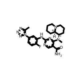 Cc1nnnn1-c1ccc(F)c(Nc2ncc(C(N)=O)c(N(C)[C@H]3CCCN4CCCC[C@H]34)n2)c1